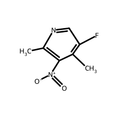 Cc1ncc(F)c(C)c1[N+](=O)[O-]